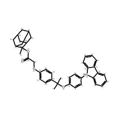 CC(C)(Oc1ccc([SH]2c3ccccc3-c3ccccc32)cc1)c1ccc(OCC(=O)OC2(C)C3CC4CC(C3)CC2C4)cc1